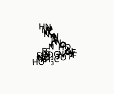 CCC(C)NC(=O)c1cc(O[C@H]2CC[C@@H](N3CC(CC#N)(n4cc(-c5ncnc6[nH]ccc56)cn4)C3)CC2)nc(C(F)(F)F)c1.O=C(O)C(F)(F)F.O=C(O)C(F)(F)F